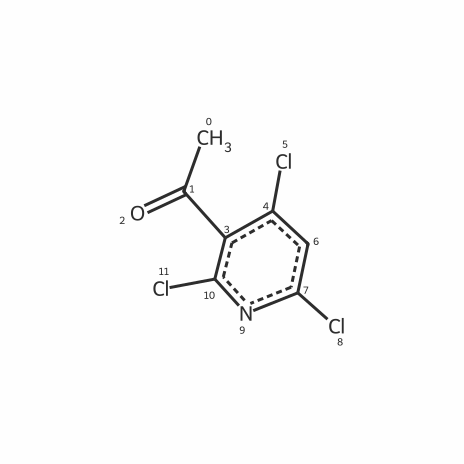 CC(=O)c1c(Cl)cc(Cl)nc1Cl